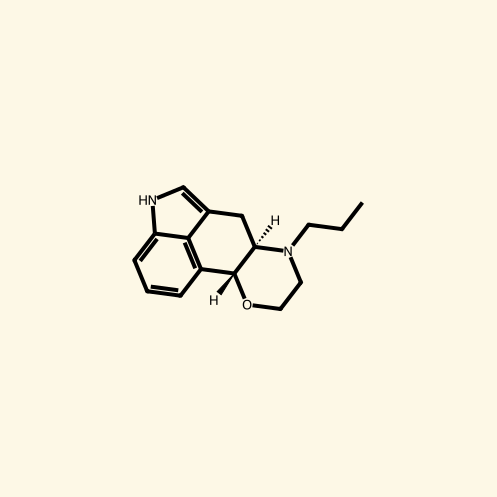 CCCN1CCO[C@@H]2c3cccc4[nH]cc(c34)C[C@H]21